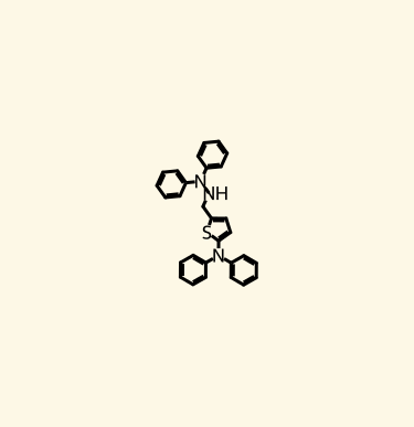 c1ccc(N(NCc2ccc(N(c3ccccc3)c3ccccc3)s2)c2ccccc2)cc1